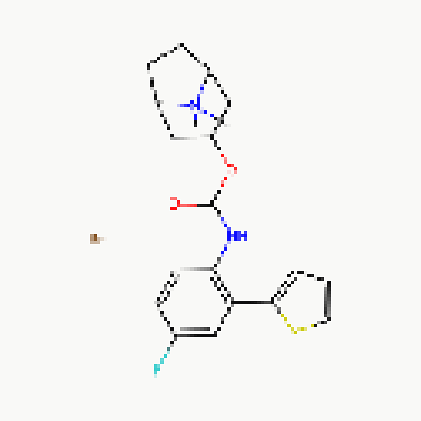 C[N+]1(C)C2CCC1CC(OC(=O)Nc1ccc(F)cc1-c1cccs1)C2.[Br-]